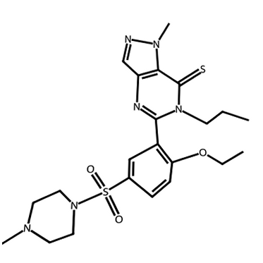 CCCn1c(-c2cc(S(=O)(=O)N3CCN(C)CC3)ccc2OCC)nc2cnn(C)c2c1=S